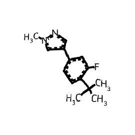 Cn1cc(-c2ccc(C(C)(C)C)c(F)c2)cn1